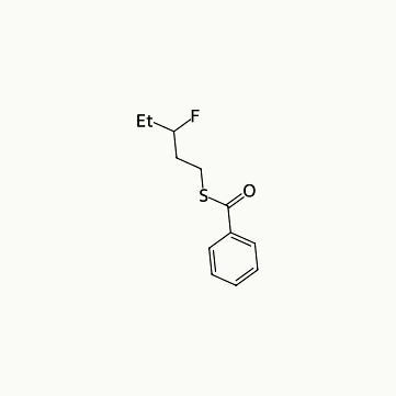 CCC(F)CCSC(=O)c1ccccc1